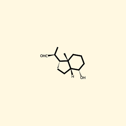 C[C@H](C=O)[C@H]1CC[C@H]2[C@@H](O)CCC[C@@]12C